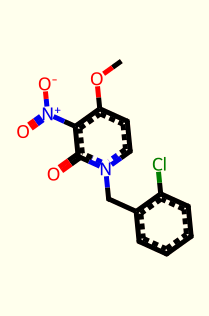 COc1ccn(Cc2ccccc2Cl)c(=O)c1[N+](=O)[O-]